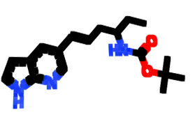 CCC(CC=Cc1cnc2[nH]ccc2c1)NC(=O)OC(C)(C)C